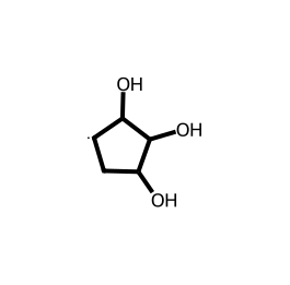 OC1[CH]CC(O)C1O